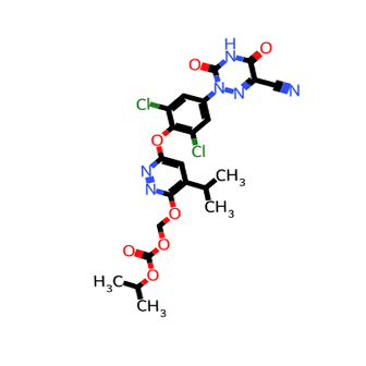 CC(C)OC(=O)OCOc1nnc(Oc2c(Cl)cc(-n3nc(C#N)c(=O)[nH]c3=O)cc2Cl)cc1C(C)C